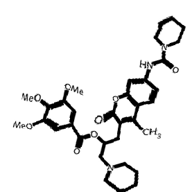 COc1cc(C(=O)OC(Cc2c(C)c3ccc(NC(=O)N4CCCCC4)cc3oc2=O)CN2CCCCC2)cc(OC)c1OC